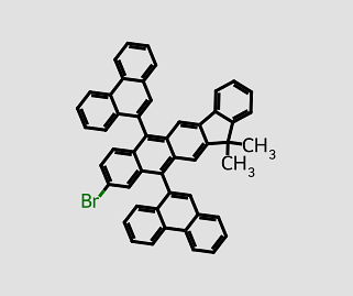 CC1(C)c2ccccc2-c2cc3c(-c4cc5ccccc5c5ccccc45)c4ccc(Br)cc4c(-c4cc5ccccc5c5ccccc45)c3cc21